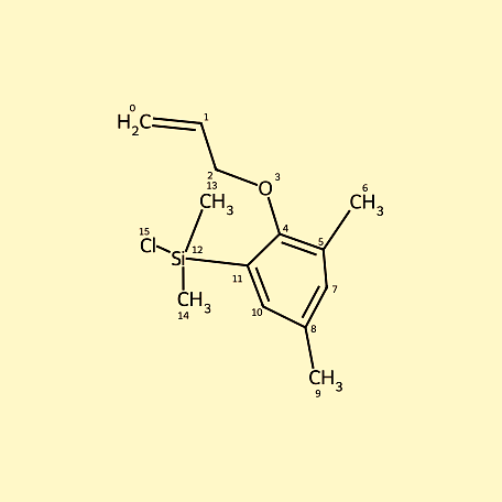 C=CCOc1c(C)cc(C)cc1[Si](C)(C)Cl